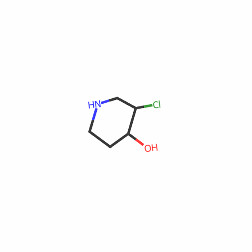 OC1CCNCC1Cl